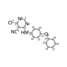 N#Cc1c(Cl)ncnc1Nc1ccc(Oc2ccccc2)cc1